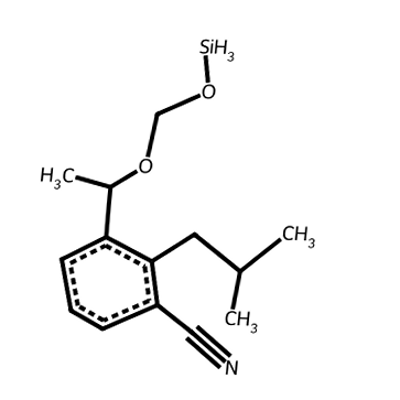 CC(C)Cc1c(C#N)cccc1C(C)OCO[SiH3]